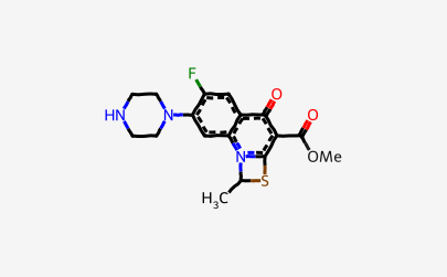 COC(=O)c1c2n(c3cc(N4CCNCC4)c(F)cc3c1=O)C(C)S2